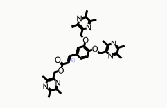 Cc1nc(C)c(COC(=O)/C=C/c2ccc(OCc3nc(C)c(C)nc3C)c(OCc3nc(C)c(C)nc3C)c2)nc1C